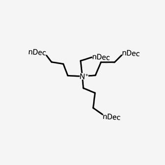 CCCCCCCCCCCCC[N+](CCCCCCCCCCC)(CCCCCCCCCCCCC)CCCCCCCCCCCCC